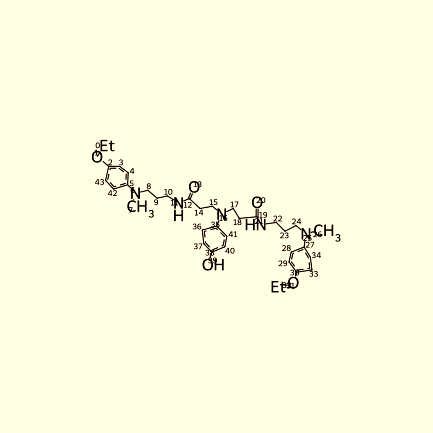 CCOc1ccc(N(C)CCCNC(=O)CCN(CCC(=O)NCCCN(C)c2ccc(OCC)cc2)c2ccc(O)cc2)cc1